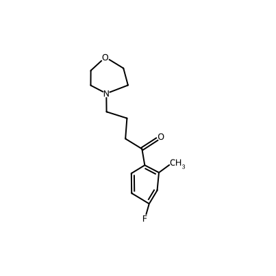 Cc1cc(F)ccc1C(=O)CCCN1CCOCC1